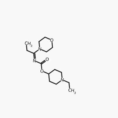 CC/C(=N/C(=O)OC1CCN(CC)CC1)N1CCOCC1